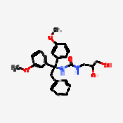 O=C(NCC(O)CO)NC(Cc1ccccc1)(c1cccc(OC(F)(F)F)c1)c1cccc(OC(F)(F)F)c1